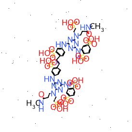 CNC(=O)CCN(CCS(=O)(=O)O)c1nc(Nc2ccc(/C=C/c3ccc(Nc4nc(Nc5cc(S(=O)(=O)O)ccc5S(=O)(=O)O)nc(N(CCC(=O)NC)CCS(=O)(=O)O)n4)cc3S(=O)(=O)O)c(S(=O)(=O)O)c2)nc(Nc2cc(S(=O)(=O)O)ccc2S(=O)(=O)O)n1